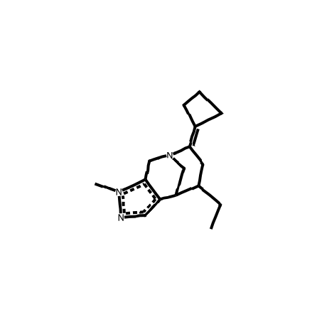 CCC1CC(=C2CCC2)N2Cc3c(cnn3C)C1C2